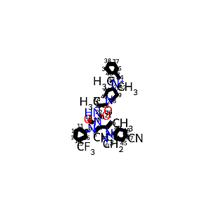 C=NN(/C(=C\C)c1c(C)n(-c2cccc(C(F)(F)F)c2)c(=O)n1C(=O)N[C@@H](C)C(=O)N1CCC([N+](C)(C)Cc2ccccc2)CC1)c1ccc(C#N)cc1